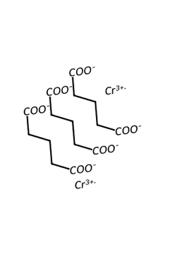 O=C([O-])CCCC(=O)[O-].O=C([O-])CCCC(=O)[O-].O=C([O-])CCCC(=O)[O-].[Cr+3].[Cr+3]